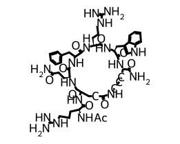 CC(=O)N[C@@H](CCCNC(=N)N)C(=O)NC1CCC(=O)NCCCC(C(N)=O)NC(=O)[C@H](Cc2c[nH]c3ccccc23)NC(=O)[C@H](CCCNC(=N)N)NC(=O)C(Cc2ccccc2)NC(=O)[C@H](CCC(N)=O)NC1=O